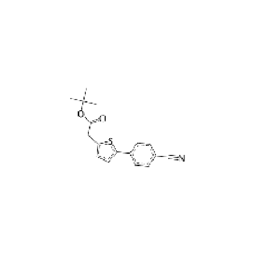 CC(C)(C)OC(=O)Cc1ccc(-c2ccc(C#N)cc2)s1